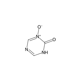 O=c1[nH]cnc[n+]1[O-]